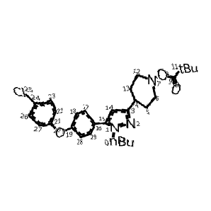 CCCCn1nc(C2CCN(OC(=O)C(C)(C)C)CC2)cc1-c1ccc(Oc2ccc(Cl)cc2)cc1